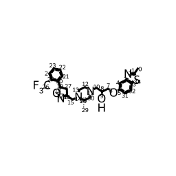 Cc1nc2cc(OCC(O)CN3CCN(CC4=NOC(c5ccccc5C(F)(F)F)C4)[C@@H](C)C3)ccc2s1